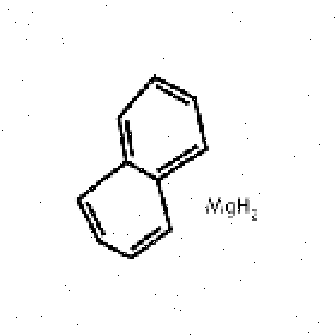 [MgH2].c1ccc2ccccc2c1